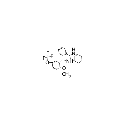 COc1ccc(OC(F)(F)F)cc1CNC1C2CCCC(C2)NC1c1ccccc1